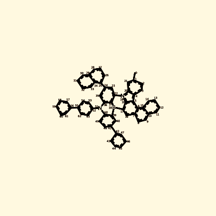 Cc1ccc2c3c4c(ccc5ccccc54)cc4c3n(c2c1)-c1cc(-c2cccc3ccccc23)cc2c1B4c1cc(-c3ccccc3)ccc1N2c1ccc(-c2ccccc2)cc1